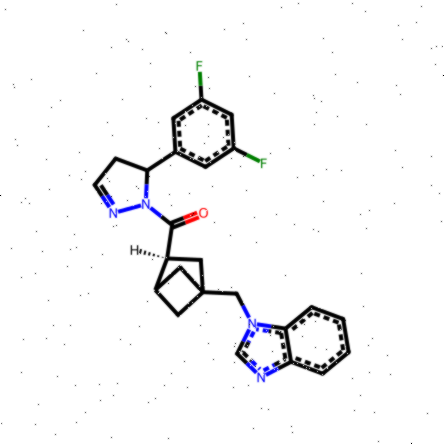 O=C([C@H]1CC2(Cn3cnc4ccccc43)CC1C2)N1N=CCC1c1cc(F)cc(F)c1